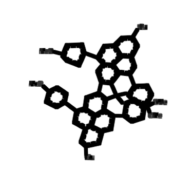 COc1ccc(-c2cc3cc(C(C)(C)C)cc4cc(-c5ccc(OC)cc5)c5c6c(cc2c5c34)-c2cc3c(-c4ccc(OC)cc4)cc4cc(C(C)(C)C)cc5cc(-c7ccc(OC)cc7)c(c2C6(C)C)c3c45)cc1